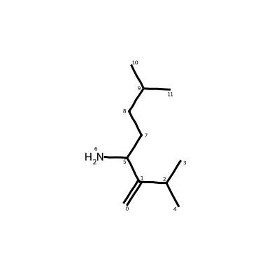 C=C(C(C)C)C(N)CCC(C)C